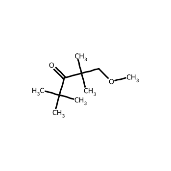 COCC(C)(C)C(=O)C(C)(C)C